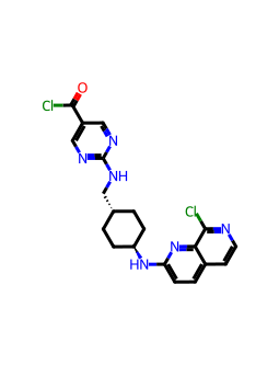 O=C(Cl)c1cnc(NC[C@H]2CC[C@H](Nc3ccc4ccnc(Cl)c4n3)CC2)nc1